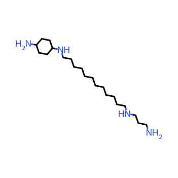 NCCCNCCCCCCCCCCCCNC1CCC(N)CC1